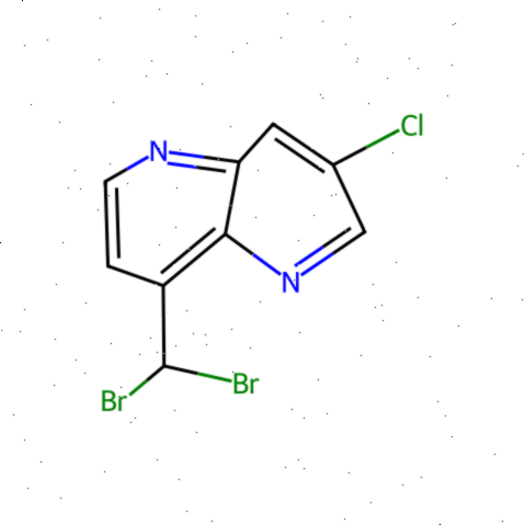 Clc1cnc2c(C(Br)Br)ccnc2c1